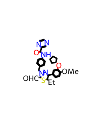 CCC1SC(C=O)N(Cc2ccc(NC(=O)c3cnccn3)cc2)N=C1c1ccc(OC)c(OC2CCCC2)c1